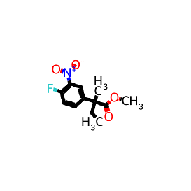 CCC(C)(C(=O)OC)c1ccc(F)c([N+](=O)[O-])c1